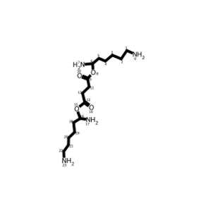 NCCCCCC(N)OC(=O)CCC(=O)OC(N)CCCCCN